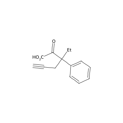 C#CCC(CC)(C(=O)C(=O)O)c1ccccc1